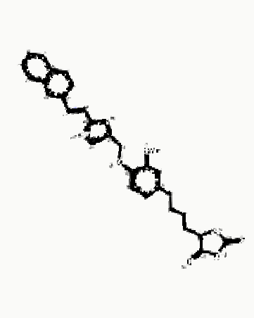 COc1cc(CCCCC2OC(=O)NC2=O)ccc1OCc1coc(/C=C/c2ccc3ccccc3c2)n1